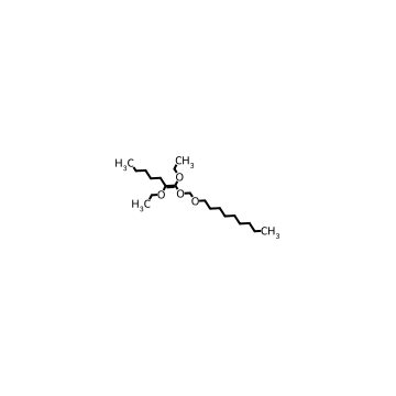 CCCCCCCCCOCOC(OCC)=C(CCCCC)OCC